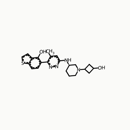 Cc1cc(N[C@@H]2CCCN(C3CC(O)C3)C2)nnc1-c1ccc2sccc2c1O